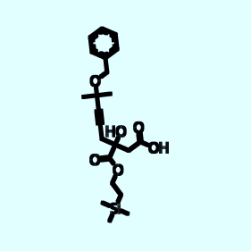 CC(C)(C#CCC(O)(CC(=O)O)C(=O)OCC[Si](C)(C)C)OCc1ccccc1